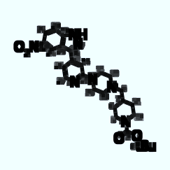 CC(C)(C)OC(=O)N1CCC(CN2CCN(c3cc(-c4n[nH]c5ccc([N+](=O)[O-])cc45)ccn3)CC2)CC1